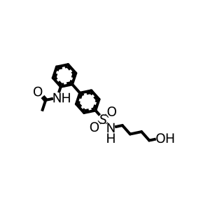 CC(=O)Nc1ccccc1-c1ccc(S(=O)(=O)NCCCCO)cc1